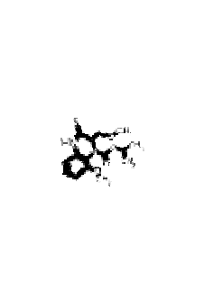 COc1cccc2c1N(C(=O)OC(C)C)C(CSC)C(=S)N2